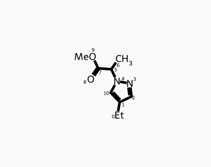 CCc1cnn(C(C)C(=O)OC)c1